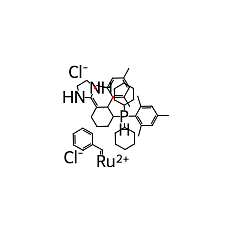 Cc1cc(C)c(C2C(=C3NCCN3)CCCC2[PH](c2c(C)cc(C)cc2C)(C2CCCCC2)C2CCCCC2)c(C)c1.[Cl-].[Cl-].[Ru+2]=[CH]c1ccccc1